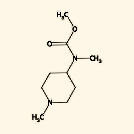 COC(=O)N(C)C1CCN(C)CC1